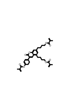 C=C(C)C(=O)OCCCCc1cc(CCCCOC(=O)C(=C)C)c2cc(C3=CC=C(OC(=O)C(=C)C)CC3)c(=O)oc2c1